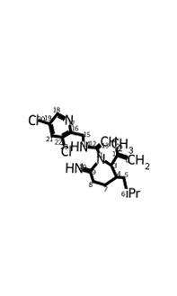 C=C(C)C1C(CC(C)C)CCC(=N)N1C(=C)NCc1ncc(Cl)cc1Cl